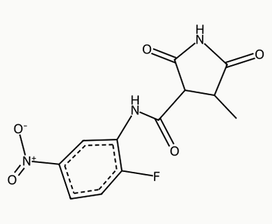 CC1C(=O)NC(=O)C1C(=O)Nc1cc([N+](=O)[O-])ccc1F